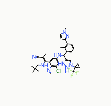 C=Nc1c(Cl)cc(N[C@H](C2=CN(C3(C(F)(F)F)CC3)NN2)c2cccc(-c3ccn(C)n3)c2C)cc1/C(NCC(C)(C)C)=C(\C)C#N